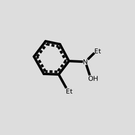 CCc1ccccc1N(O)CC